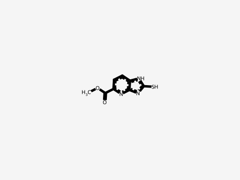 COC(=O)c1ccc2[nH]c(S)nc2n1